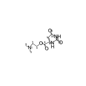 CN(C)CCOC(=O)c1cc(=O)[nH]c(=O)[nH]1